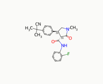 CN1C[C@H](c2ccc(C(C)(C)C#N)cc2)[C@@H](C(=O)Nc2ccccc2F)C1=O